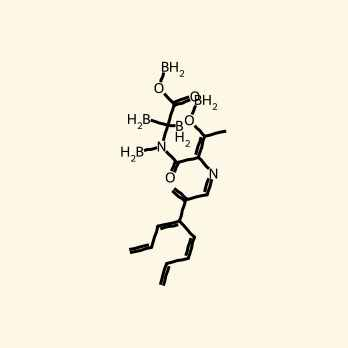 BOC(=O)C(B)(B)N(B)C(=O)C(/N=C\C(=C)C(/C=C\C=C)=C/C=C)=C(/C)OB